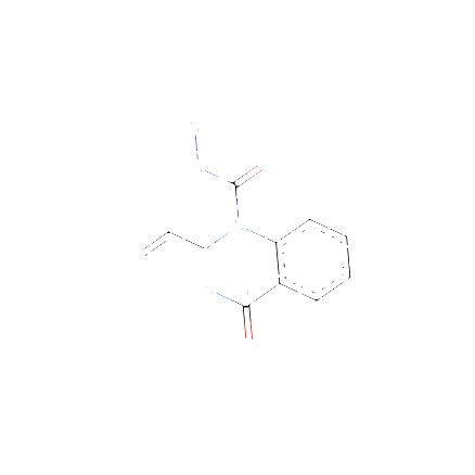 C=CCN(C(=O)NN)c1ccccc1C(N)=O